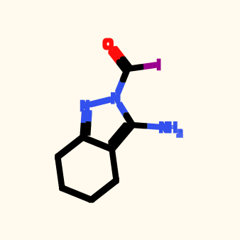 Nc1c2c(nn1C(=O)I)CCCC2